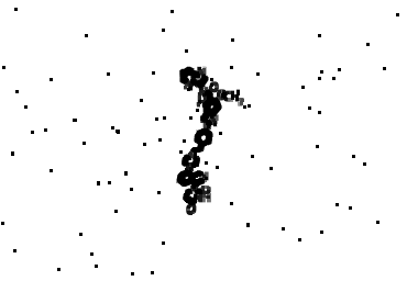 COc1cc2nn(C3CCC(CCN4CCN(c5cccc6c(N7CCC(=O)NC7=O)cncc56)CC4)CC3)cc2cc1C(=O)Nc1cnc2cccnn12